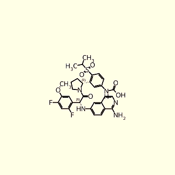 COc1cc([C@@H](Nc2ccc3c(N)nccc3c2)C(=O)N2CCC[C@@H]2c2cc(NC(=O)O)ccc2S(=O)(=O)C(C)C)c(F)cc1F